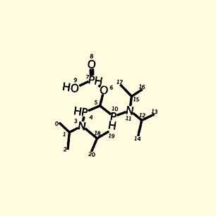 CC(C)N(PC(O[PH](=O)O)PN(C(C)C)C(C)C)C(C)C